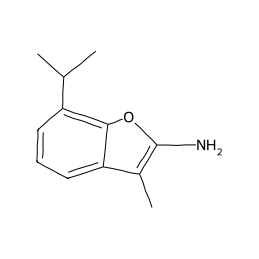 Cc1c(N)oc2c(C(C)C)cccc12